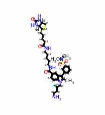 Cc1c(-c2cccc(S(=O)(=O)N(C)C)c2)c2cc(C(=O)NCCCCCNC(=O)CCCC[C@@H]3SC[C@@H]4NC(=O)N[C@@H]43)ccc2n1C/C(F)=C/CN